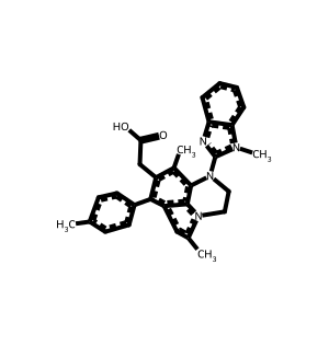 Cc1ccc(-c2c(CC(=O)O)c(C)c3c4c2cc(C)n4CCN3c2nc3ccccc3n2C)cc1